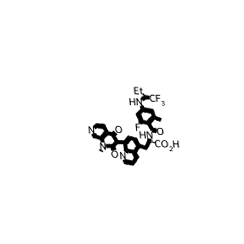 CC[C@@H](Nc1cc(C)c(C(=O)N[C@@H](Cc2ccc(C3C(=O)c4ccncc4N(C)C3=O)c3ncccc23)C(=O)O)c(F)c1)C(F)(F)F